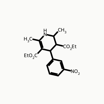 CCOC(=O)C1=C(C)NC(C)C(C(=O)OCC)C1c1cccc([N+](=O)[O-])c1